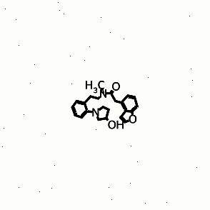 CN(CCc1ccccc1N1CCC(O)C1)C(=O)Cc1cccc2occc12